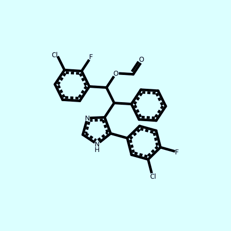 O=COC(c1cccc(Cl)c1F)C(c1ccccc1)c1nc[nH]c1-c1ccc(F)c(Cl)c1